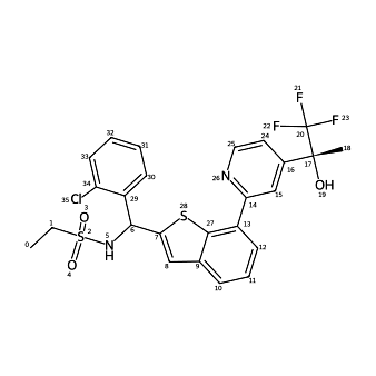 CCS(=O)(=O)NC(c1cc2cccc(-c3cc([C@@](C)(O)C(F)(F)F)ccn3)c2s1)c1ccccc1Cl